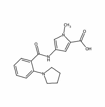 Cn1cc(NC(=O)c2ccccc2N2CCCC2)cc1C(=O)O